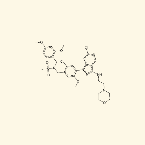 COc1ccc(CN(Cc2cc(OC)c(-n3nc(NCCN4CCOCC4)c4cnc(Cl)cc43)cc2Cl)S(C)(=O)=O)c(OC)c1